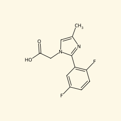 Cc1cn(CC(=O)O)c(-c2cc(F)ccc2F)n1